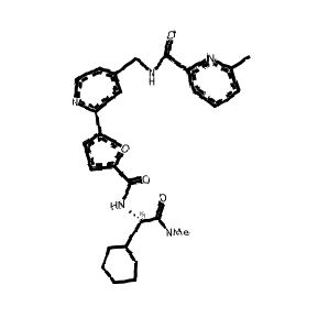 CNC(=O)[C@@H](NC(=O)c1ccc(-c2cc(CNC(=O)c3cccc(C)n3)ccn2)o1)C1CCCCC1